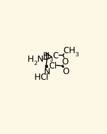 CC(C)OC(=O)Cl.Cl.N#CC1(N)CC1